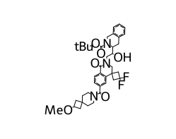 COC1CC2(CCN(C(=O)c3ccc4c(c3)C3(CN(C[C@@H](O)C5Cc6ccccc6CN5C(=O)OC(C)(C)C)C4=O)CC(F)(F)C3)CC2)C1